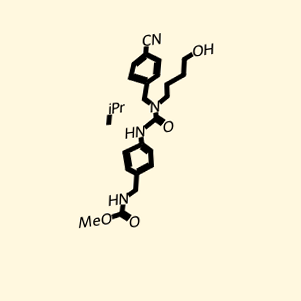 CC(C)C.COC(=O)NCc1ccc(NC(=O)N(CCCCO)Cc2ccc(C#N)cc2)cc1